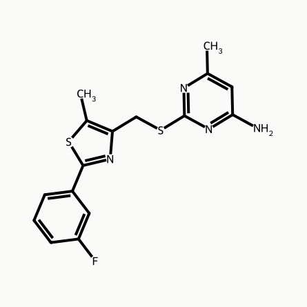 Cc1cc(N)nc(SCc2nc(-c3cccc(F)c3)sc2C)n1